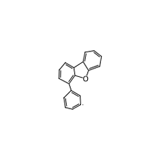 [c]1cccc(-c2cccc3c2oc2ccccc23)c1